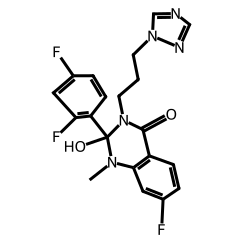 CN1c2cc(F)ccc2C(=O)N(CCCn2cncn2)C1(O)c1ccc(F)cc1F